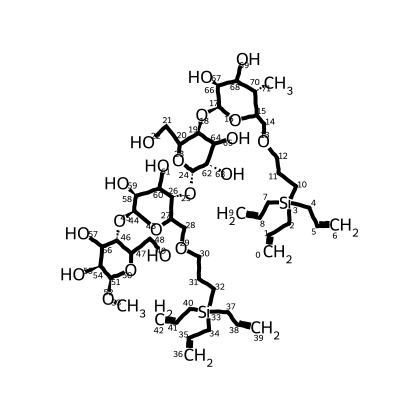 C=CC[Si](CC=C)(CC=C)CCCOCC1O[C@@H](O[C@@H]2C(CO)O[C@@H](O[C@@H]3C(COCCC[Si](CC=C)(CC=C)CC=C)O[C@@H](O[C@@H]4C(CO)O[C@@H](OC)[C@@H](O)C4O)[C@@H](O)C3O)[C@@H](O)C2O)[C@@H](O)C(O)[C@@H]1C